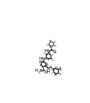 NC(=O)c1cnc(Nc2cccc(NC(=O)N3CCCC3)c2)nc1NCc1cccc(F)c1